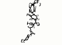 CCO/N=C1\CC1CCNC(=O)c1ccc(-c2noc(C(F)(F)F)n2)c(F)c1